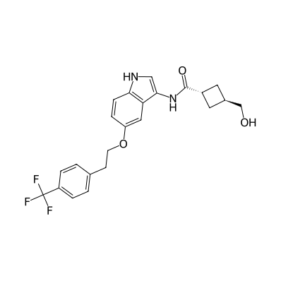 O=C(Nc1c[nH]c2ccc(OCCc3ccc(C(F)(F)F)cc3)cc12)[C@H]1C[C@H](CO)C1